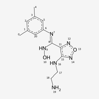 Cc1cc(C)cc(/N=C(\NO)c2nonc2NCCN)c1